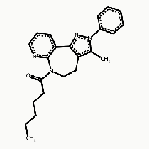 CCCCCC(=O)N1CCc2c(nn(-c3ccccc3)c2C)-c2cccnc21